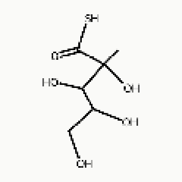 CC(O)(C(=O)S)C(O)C(O)CO